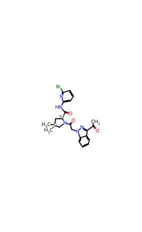 CC(=O)c1nn(CC(=O)N2C[Si](C)(C)C[C@H]2C(=O)Nc2cccc(Br)n2)c2ccccc12